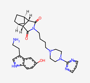 NCCc1c[nH]c2ccc(O)cc12.O=C1[C@@H]2[C@H]3CC[C@H](C3)[C@@H]2C(=O)N1CCCCN1CCN(c2ncccn2)CC1